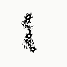 O=C(NC1C=CCC1)NS(=O)(=O)c1ccc(CCNC(=O)N2Cc3ccccc3C2=O)cc1